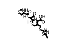 Cc1nnc(SCC2=C(C(=O)O)N3C(=O)C(NC(=O)C4CSCN4)[C@@H]3SC2)s1